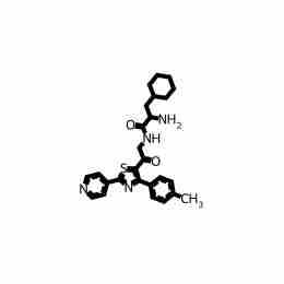 Cc1ccc(-c2nc(-c3ccncc3)sc2C(=O)CNC(=O)C(N)CC2CCCCC2)cc1